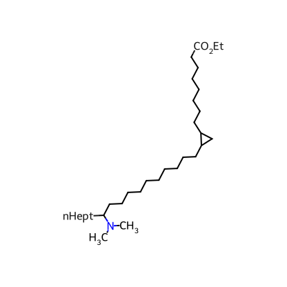 CCCCCCCC(CCCCCCCCCCC1CC1CCCCCCCC(=O)OCC)N(C)C